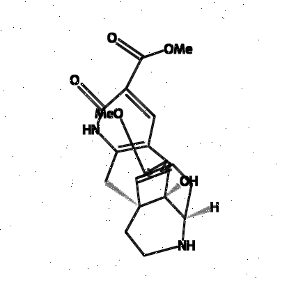 COC(=O)c1cc2c([nH]c1=O)C[C@]13CCN[C@H](Cc4ccc(OC)cc41)[C@]3(O)C2